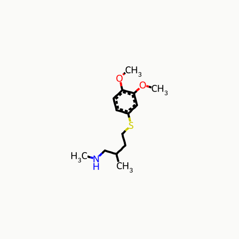 CNCC(C)CCSc1ccc(OC)c(OC)c1